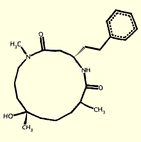 CC1CCC[C@](C)(O)CCCN(C)C(=O)C[C@H](CCc2ccccc2)NC1=O